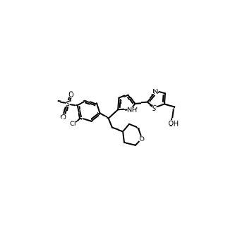 CS(=O)(=O)c1ccc(C(CC2CCOCC2)c2ccc(-c3ncc(CO)s3)[nH]2)cc1Cl